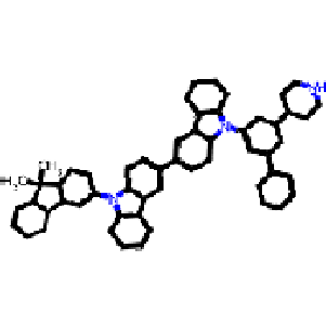 CC1(C)C2CCCCC2C2CC(N3C4CCCCC4C4CC(C5CCC6C(C5)C5CCCCC5N6C5CC(C6CCCCC6)CC(C6CCNCC6)C5)CCC43)CCC21